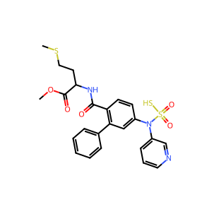 COC(=O)C(CCSC)NC(=O)c1ccc(N(c2cccnc2)S(=O)(=O)S)cc1-c1ccccc1